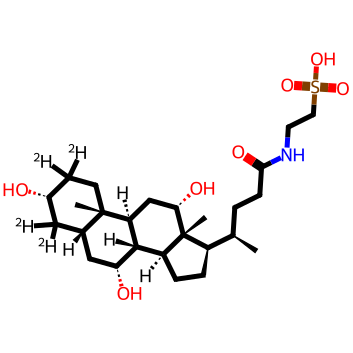 [2H]C1([2H])C[C@@]2(C)[C@H](C[C@@H](O)[C@@H]3[C@@H]2C[C@H](O)[C@]2(C)[C@@H]([C@H](C)CCC(=O)NCCS(=O)(=O)O)CC[C@@H]32)C([2H])([2H])[C@@H]1O